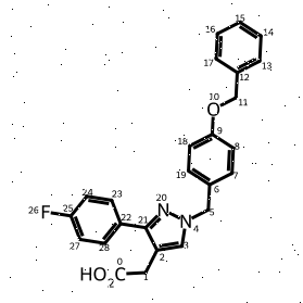 O=C(O)Cc1cn(Cc2ccc(OCc3ccccc3)cc2)nc1-c1ccc(F)cc1